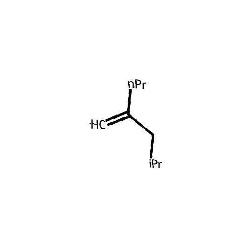 [CH]=C(CCC)CC(C)C